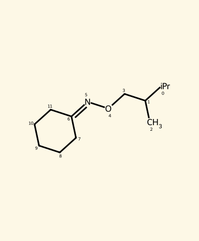 CC(C)C(C)CON=C1CCCCC1